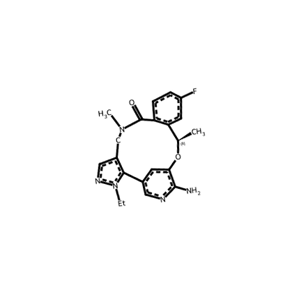 CCn1ncc2c1-c1cnc(N)c(c1)O[C@H](C)c1cc(F)ccc1C(=O)N(C)C2